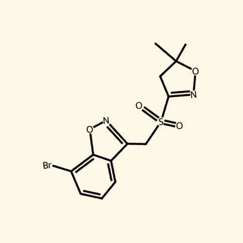 CC1(C)CC(S(=O)(=O)Cc2noc3c(Br)cccc23)=NO1